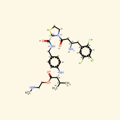 CNCCOC(=O)[C@H](Nc1ccc(CNC(=O)[C@@H]2SCCN2C(=O)C[C@H](N)Cc2cc(F)c(F)cc2F)cc1)C(C)C